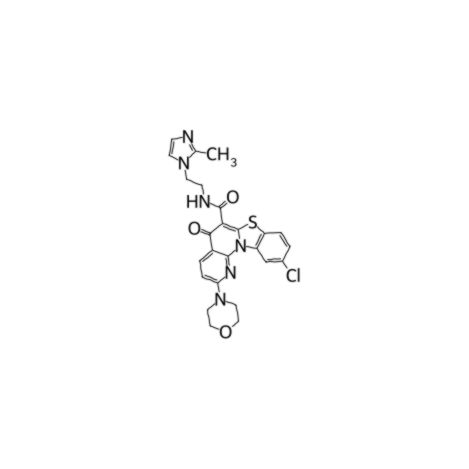 Cc1nccn1CCNC(=O)c1c(=O)c2ccc(N3CCOCC3)nc2n2c1sc1ccc(Cl)cc12